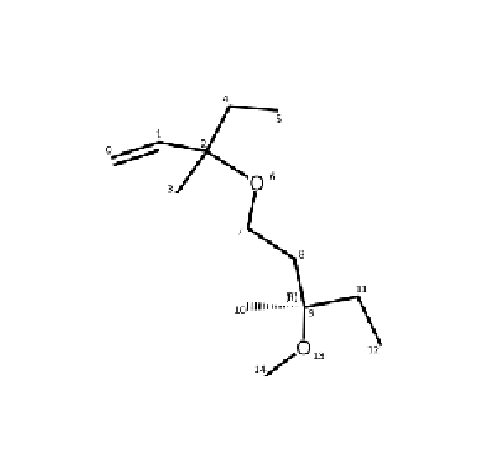 C=CC(C)(CC)OCC[C@@](C)(CC)OC